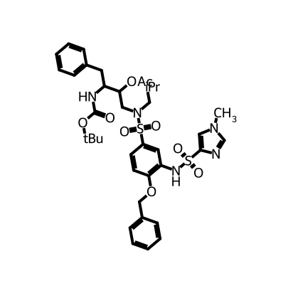 CC(=O)OC(CN(CC(C)C)S(=O)(=O)c1ccc(OCc2ccccc2)c(NS(=O)(=O)c2cn(C)cn2)c1)C(Cc1ccccc1)NC(=O)OC(C)(C)C